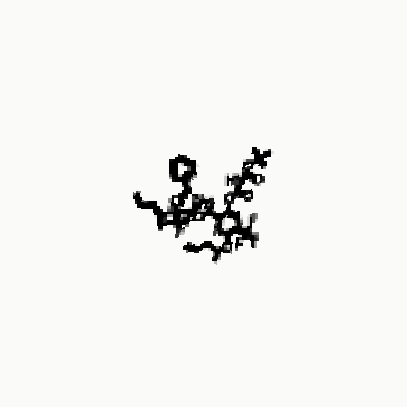 C=CCC[C@@](OCc1ccccc1)(c1nnc(-c2nc(OC(C)CC=C)c(C(F)(F)F)cc2OC(=O)NC(=O)OC(C)(C)C)o1)C(F)(F)F